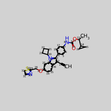 C#Cc1c(-c2ccc(NC(=O)OC(C)C3CC3)cc2)n(C2CCC2)c2cc(OCc3nccs3)ccc12